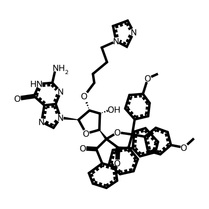 COc1ccc(C(OC(C(=O)c2ccccc2)(C(=O)c2ccccc2)[C@H]2O[C@@H](n3cnc4c(=O)[nH]c(N)nc43)[C@H](OCCCCn3ccnc3)[C@@H]2O)(c2ccccc2)c2ccc(OC)cc2)cc1